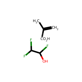 C=C(C)C(=O)O.OC(F)C(F)F